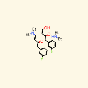 CCN(/C=C/C(=O)Cc1cccc(F)c1)CC.CCNCC.O=C(/C=C\O)Cc1cccc(F)c1